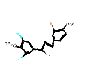 COc1c(F)cc(C(/C=C/c2ccc(C(=O)O)c(Br)c2)C(F)(F)F)cc1F